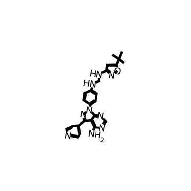 CC(C)(C)c1cc(NCNc2ccc(-n3nc(-c4ccncc4)c4c(N)ncnc43)cc2)no1